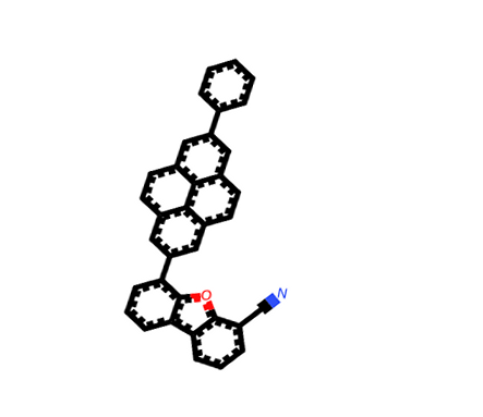 N#Cc1cccc2c1oc1c(-c3cc4ccc5cc(-c6ccccc6)cc6ccc(c3)c4c56)cccc12